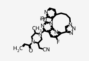 C=CC(=O)N1CC(C)N(c2nc(=O)n3c4nc(c(F)cc24)-c2cn(nn2)CCCc2ccnc(C(C)C)c2-3)CC1CC#N